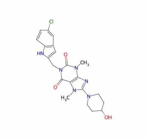 Cn1c(N2CCC(O)CC2)nc2c1c(=O)n(Cc1cc3cc(Cl)ccc3[nH]1)c(=O)n2C